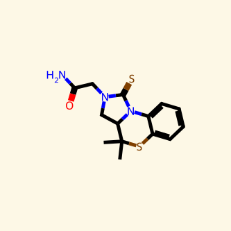 CC1(C)Sc2ccccc2N2C(=S)N(CC(N)=O)CC21